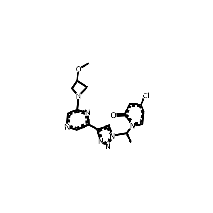 COC1CN(c2cncc(-c3cn(C(C)n4ccc(Cl)cc4=O)nn3)n2)C1